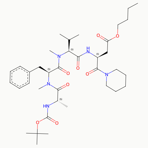 CCCCOC(=O)C[C@H](NC(=O)[C@H](C(C)C)N(C)C(=O)[C@H](Cc1ccccc1)N(C)C(=O)[C@H](C)NC(=O)OC(C)(C)C)C(=O)N1CCCCC1